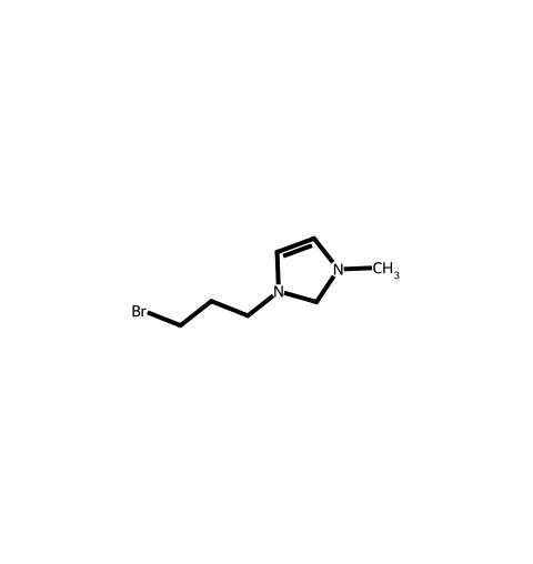 CN1C=CN(CCCBr)C1